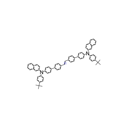 CC(C)(C)c1ccc(N(c2ccc(-c3ccc(/C=C/c4ccc(-c5ccc(N(c6ccc(C(C)(C)C)cc6)c6ccc7ccccc7c6)cc5)cc4)cc3)cc2)c2ccc3ccccc3c2)cc1